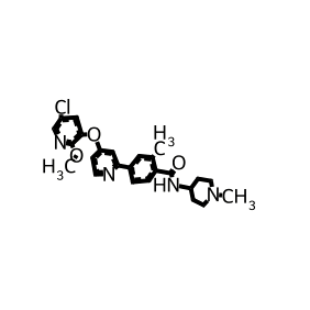 COc1ncc(Cl)cc1Oc1ccnc(-c2ccc(C(=O)NC3CCN(C)CC3)c(C)c2)c1